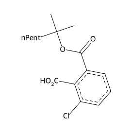 CCCCCC(C)(C)OC(=O)c1cccc(Cl)c1C(=O)O